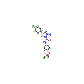 O=C(Nc1ccc(OC(F)(F)F)cc1)N1CC(c2ccc(F)cc2)=CN1